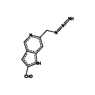 N=[N+]=NCc1cc2[nH]c(C=O)cc2cn1